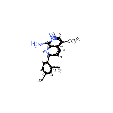 CCOC(=O)c1cnc(N)c2nc(-c3ccc(C)cc3C)ccc12